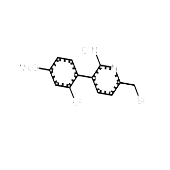 COc1ccc(-c2ccc(CBr)nc2[N+](=O)[O-])c(C(F)(F)F)c1